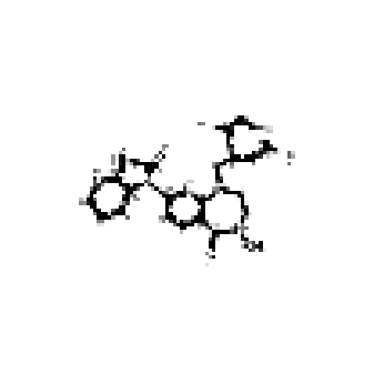 CN1CCN(Cc2cc(C#N)ccc2F)c2nc(-n3c(=O)[nH]c4ncccc43)ccc2C1=O